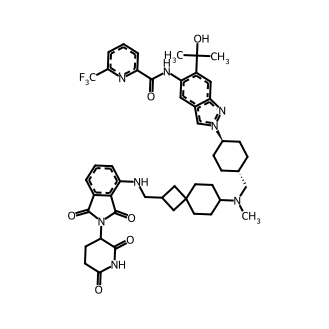 CN(C[C@H]1CC[C@H](n2cc3cc(NC(=O)c4cccc(C(F)(F)F)n4)c(C(C)(C)O)cc3n2)CC1)C1CCC2(CC1)CC(CNc1cccc3c1C(=O)N(C1CCC(=O)NC1=O)C3=O)C2